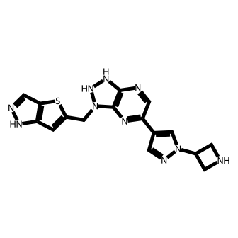 c1nn(C2CNC2)cc1-c1cnc2c(n1)N(Cc1cc3[nH]ncc3s1)NN2